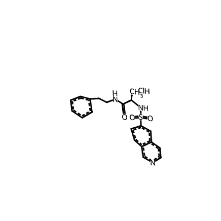 C[C@@H](NS(=O)(=O)c1ccc2cnccc2c1)C(=O)NCCc1ccccc1.Cl